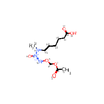 CC(=O)OCO/N=[N+](/[O-])N(C)CCCCCC(=O)O